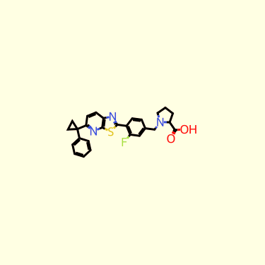 O=C(O)C1CCCN1Cc1ccc(-c2nc3ccc(C4(c5ccccc5)CC4)nc3s2)c(F)c1